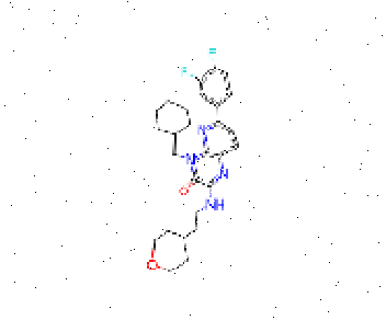 O=c1c(NCCC2CCOCC2)nc2ccc(-c3ccc(F)c(F)c3)nc2n1CC1CCCCC1